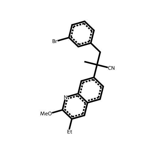 CCc1cc2ccc(C(C)(C#N)Cc3cccc(Br)c3)cc2nc1OC